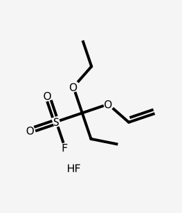 C=COC(CC)(OCC)S(=O)(=O)F.F